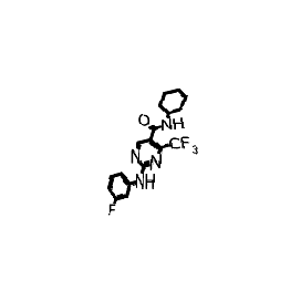 O=C(NC1CCCCC1)c1cnc(Nc2cccc(F)c2)nc1C(F)(F)F